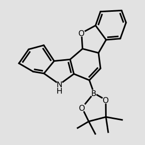 CC1(C)OB(C2=CC3c4ccccc4OC3c3c2[nH]c2ccccc32)OC1(C)C